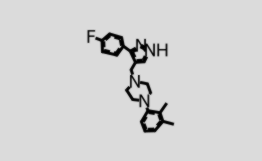 Cc1cccc(N2CCN(Cc3c[nH]nc3-c3ccc(F)cc3)CC2)c1C